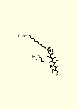 C=CCN.CCCCCCCCCCCCCCCCCCCOS(=O)(=O)CC(F)C(F)C(F)C(F)C(F)C(F)C(F)C(F)CF